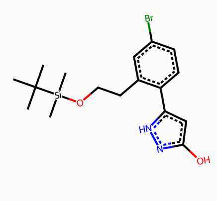 CC(C)(C)[Si](C)(C)OCCc1cc(Br)ccc1-c1cc(O)n[nH]1